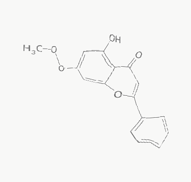 COOc1cc(O)c2c(=O)cc(-c3ccccc3)oc2c1